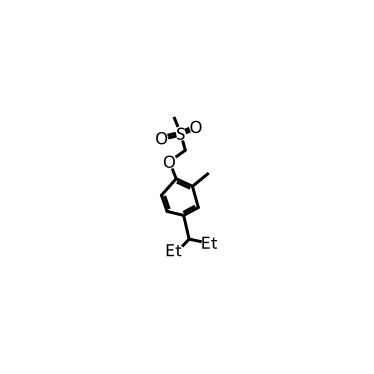 CCC(CC)c1ccc(OCS(C)(=O)=O)c(C)c1